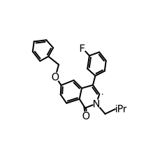 CC(C)Cn1[c]c(-c2cccc(F)c2)c2cc(OCc3ccccc3)ccc2c1=O